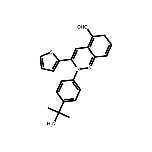 CC(C)(N)c1ccc(N2N=C3C=CCC(C=O)=C3C=C2c2cccs2)cc1